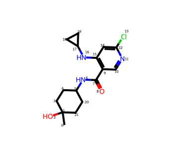 CC1(O)CCC(NC(=O)c2cnc(Cl)cc2NC2CC2)CC1